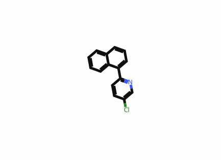 Clc1ccc(-c2cccc3ccccc23)nc1